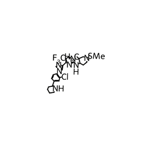 CSN1CCC(Nc2ncc(C(F)(F)F)c(-c3cn(-c4ccc(C5CCCCN5)cc4Cl)cn3)n2)C(C)C1